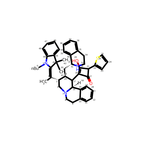 CCCCN1C(=C(C)[C@H]2CN3CCc4ccccc4[C@@H]3C(C3=C(O)C(c4cccs4)C3=O)[C@@H]2C[C@H]2NCCc3ccccc32)C(C)(C)c2ccccc21